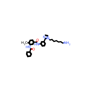 Cc1ccc(C(=O)Nc2cccc(-c3nccn3CCCCCCCN)c2)cc1NC(=O)c1ccccc1